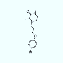 C[C@@H]1C(=O)N(C)CCN1CCCOc1ccc(Br)cc1